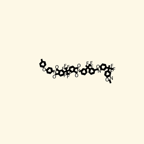 Cc1ccc(Oc2ccc(N3C(=O)c4ccc(C(c5ccc6c(c5)C(=O)N(c5cccc(C(C)(c7cccc(-c8nc9cc(C(C)(c%10ccc%11oc(C)nc%11c%10)C(F)(F)F)ccc9o8)c7)C(F)(F)F)c5)C6=O)(C(F)(F)F)C(F)(F)F)cc4C3=O)cc2)cc1